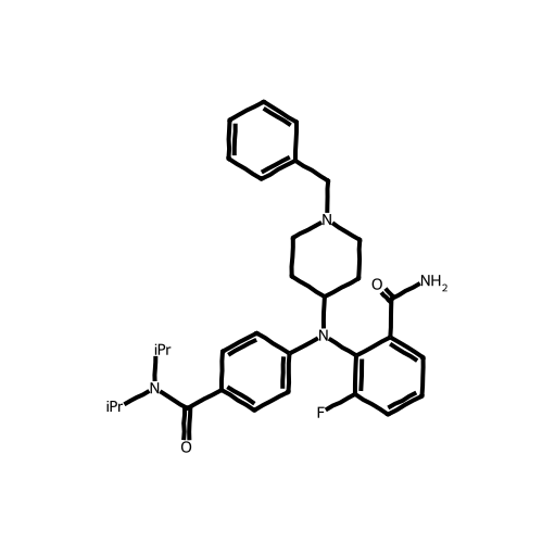 CC(C)N(C(=O)c1ccc(N(c2c(F)cccc2C(N)=O)C2CCN(Cc3ccccc3)CC2)cc1)C(C)C